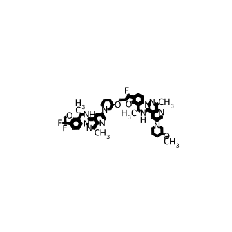 CO[C@H]1CCCN(c2cnc3c(C)nnc(N[C@H](C)c4cccc5c(F)c(CO[C@H]6CCCN(c7cnc8c(C)nnc(N[C@H](C)c9cccc%10c9OCC%10(F)F)c8c7)C6)oc45)c3c2)C1